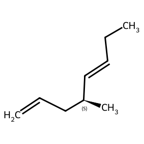 C=CC[C@H](C)C=CCC